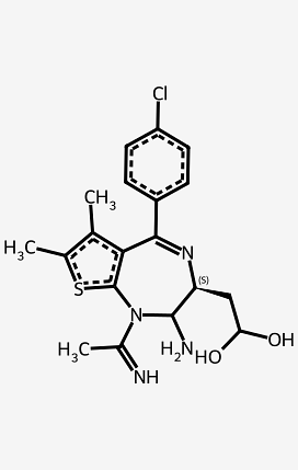 CC(=N)N1c2sc(C)c(C)c2C(c2ccc(Cl)cc2)=N[C@@H](CC(O)O)C1N